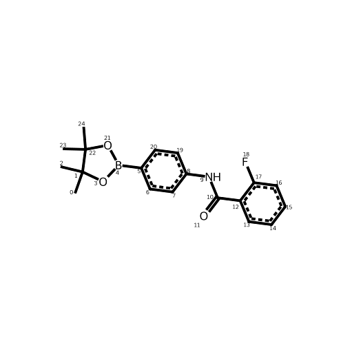 CC1(C)OB(c2ccc(NC(=O)c3ccccc3F)cc2)OC1(C)C